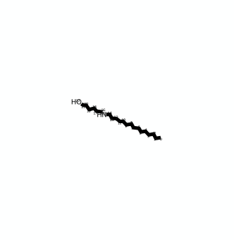 CCCCCCCCCCCCCCCNCCCCCCO